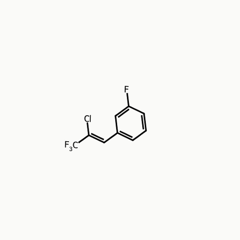 Fc1cccc(C=C(Cl)C(F)(F)F)c1